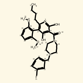 CCCCc1nc(O)c(C(=O)N2CCN(Cc3cccc(F)c3)CC2)c(O)c1-c1c(OC)cccc1OC